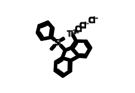 C[Si](C)(c1ccccc1)C1c2ccccc2-c2ccc[c]([Ti+3])c21.[Cl-].[Cl-].[Cl-]